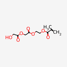 C=C(C)C(=O)OCCOC(=O)COC(=O)CO